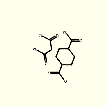 O=C(Cl)C1CCC(C(=O)Cl)CC1.O=C(Cl)CC(=O)Cl